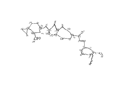 O=C(C=Cc1ccc(F)c(Cl)c1)N1CCC(=O)N(C[C@@H](O)CN2CCC3(CC3)C(O)C2)CC1